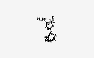 N[C@H]1CN(c2nc[nH]n2)C[C@@H]1F